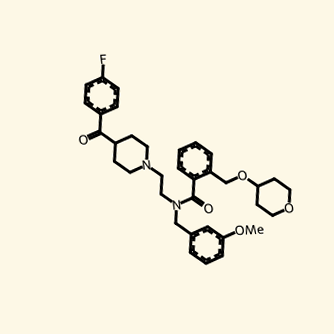 COc1cccc(CN(CCN2CCC(C(=O)c3ccc(F)cc3)CC2)C(=O)c2ccccc2COC2CCOCC2)c1